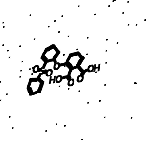 O=C(O)c1cccc(Oc2ccccc2S(=O)(=O)c2ccccc2)c1C(=O)O